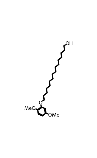 COc1ccc(OC)c(OCCCCCCCCCCCCCCCCO)c1